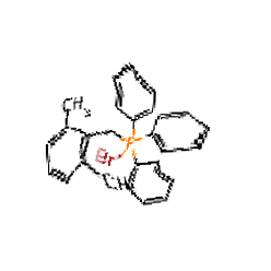 Cc1cccc(C)c1CP(Br)(c1ccccc1)(c1ccccc1)c1ccccc1